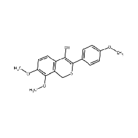 COc1ccc(C2=C(O)c3ccc(OC)c(OC)c3CS2)cc1